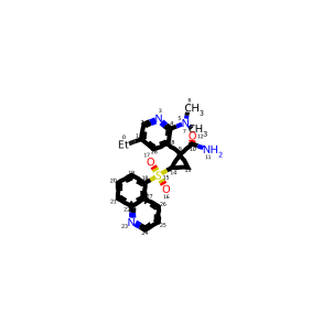 CCc1cnc(N(C)C)c(C2(C(N)=O)CC2S(=O)(=O)c2cccc3ncccc23)c1